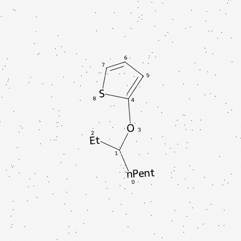 CCCCCC(CC)Oc1cccs1